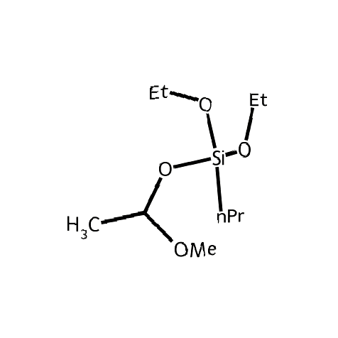 CCC[Si](OCC)(OCC)OC(C)OC